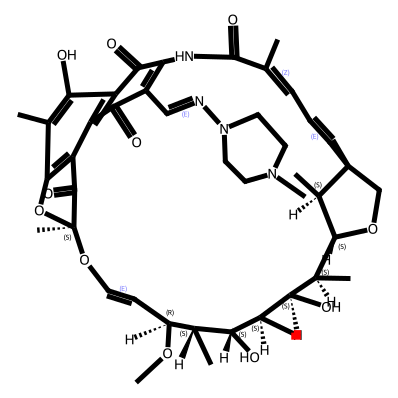 CO[C@H]1/C=C/O[C@@]2(C)Oc3c(C)c(O)c4c(c3C2=O)C(=O)C(/C=N/N2CCN(C)CC2)=C(NC(=O)/C(C)=C\C=C\C2(C)CO[C@H]([C@@H](C)[C@@H](O)[C@@H](C)[C@H](O)[C@@H]1C)[C@H]2C)C4=O